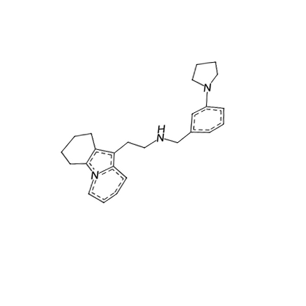 c1cc(CNCCc2c3c(n4ccccc24)CCCC3)cc(N2CCCC2)c1